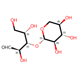 O=C[C@H](O)[C@@H](O[C@@H]1OC[C@@H](O)[C@H](O)[C@H]1O)[C@@H](O)CO